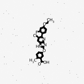 CCOc1ccc(-c2nc3nc(Oc4ccc(C)c(C(=O)O)c4)[nH]c3cc2Cl)c(F)c1